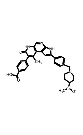 Cc1c(-c2ccc(C(=O)O)cc2)c(=O)[nH]c2cnc3[nH]c(-c4ccc(CN5CCC([S+](C)[O-])CC5)cc4)cc3c12